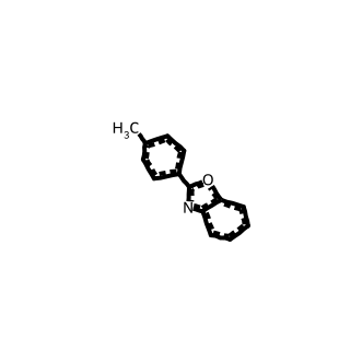 Cc1ccc(-c2nc3ccccc3o2)cc1